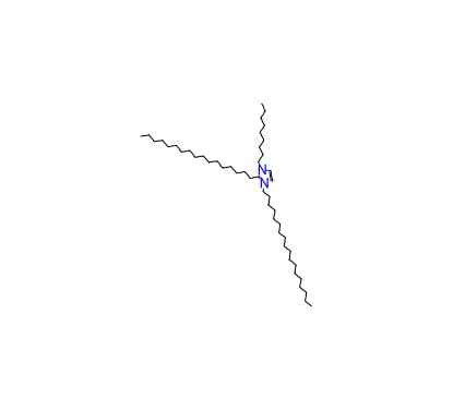 CCCCCCCCCCCCCCCCCC[n+]1ccn(CCCCCCCCC)c1CCCCCCCCCCCCCCCCC